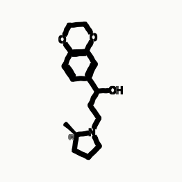 C[C@@H]1CCCN1CCC(O)c1ccc2c(c1)OCCO2